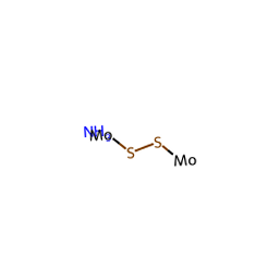 N.[Mo][S][S][Mo]